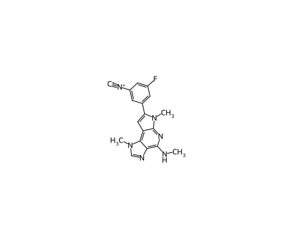 [C-]#[N+]c1cc(F)cc(-c2cc3c4c(ncn4C)c(NC)nc3n2C)c1